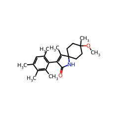 COC1(C)CCC2(CC1)NC(=O)C(c1c(C)cc(C)c(C)c1C)=C2C